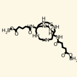 BOC(=O)CCCC(=O)NC12CNCCNCC(NC(=O)CCCC(=O)OB)(CNCCNC1)CNCCNC2